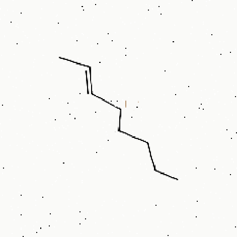 CC=CCCCCC.S